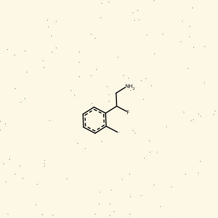 [CH2]c1ccccc1C(F)CN